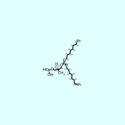 [CH2]C([CH2])(COP(O)O)COP(OCCCCCCCC(C)C)OCCCCCCCC(C)C